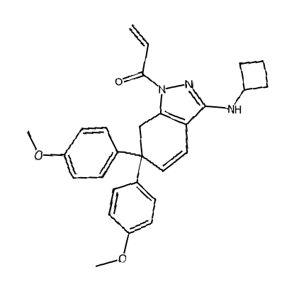 C=CC(=O)n1nc(NC2CCC2)c2c1CC(c1ccc(OC)cc1)(c1ccc(OC)cc1)C=C2